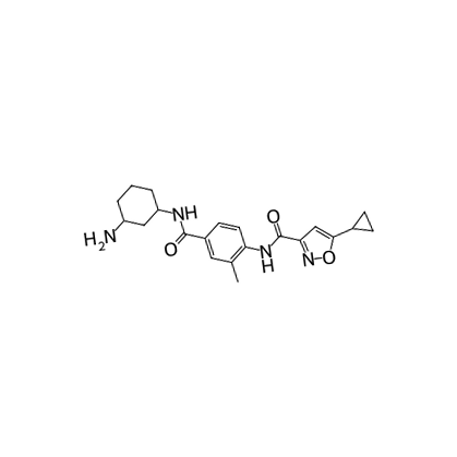 Cc1cc(C(=O)NC2CCCC(N)C2)ccc1NC(=O)c1cc(C2CC2)on1